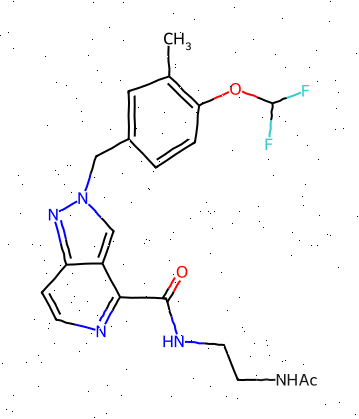 CC(=O)NCCNC(=O)c1nccc2nn(Cc3ccc(OC(F)F)c(C)c3)cc12